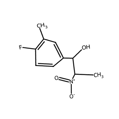 Cc1cc(C(O)C(C)[N+](=O)[O-])ccc1F